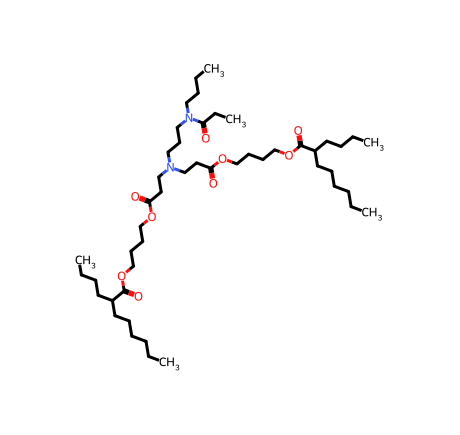 CCCCCCC(CCCC)C(=O)OCCCCOC(=O)CCN(CCCN(CCCC)C(=O)CC)CCC(=O)OCCCCOC(=O)C(CCCC)CCCCCC